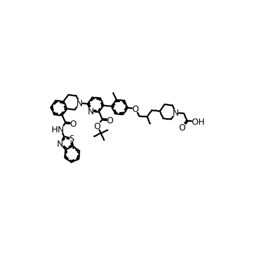 Cc1cc(OCC(C)CC2CCN(CC(=O)O)CC2)ccc1-c1ccc(N2CCc3cccc(C(=O)Nc4nc5ccccc5s4)c3C2)nc1C(=O)OC(C)(C)C